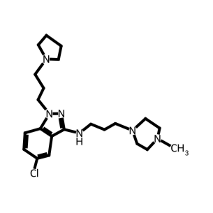 CN1CCN(CCCNc2nn(CCCN3CCCC3)c3ccc(Cl)cc23)CC1